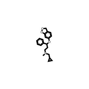 CN(CCC(Oc1ccc2c(c1)OOC2)c1ccccc1)CC1CC1